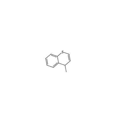 CC1C=CSc2ccccc21